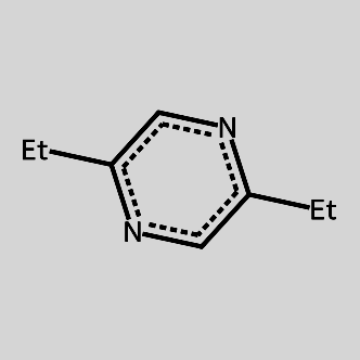 [CH2]Cc1cnc(CC)cn1